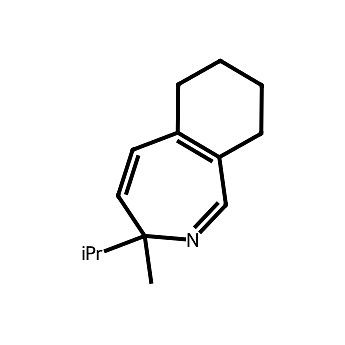 CC(C)C1(C)C=CC2=C(C=N1)CCCC2